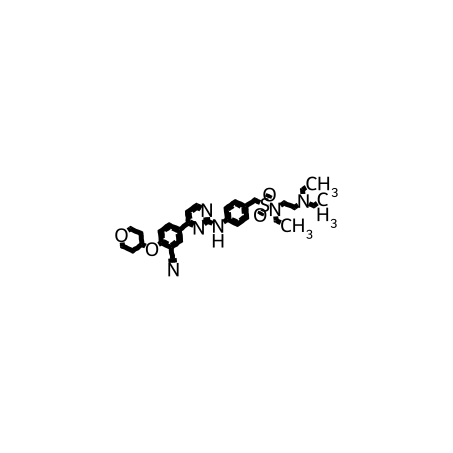 CCN(CC)CCN(CC)S(=O)(=O)Cc1ccc(Nc2nccc(-c3ccc(OC4CCOCC4)c(C#N)c3)n2)cc1